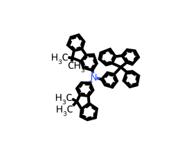 CC1(C)c2ccccc2-c2cc(N(c3cccc(C4(c5ccccc5)c5ccccc5-c5ccccc54)c3)c3ccc4c(c3)C(C)(C)c3ccccc3-4)ccc21